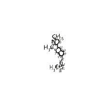 Cc1ccc(-c2ccc3cc(CCN4CCC[C@H]4C)ccc3c2)c(C)n1